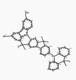 CC(C)(C)c1ccc2c(c1)c1cc(C(C)(C)C)cc3c1n2-c1cc2c(cc1C3(C)C)-c1ccc(N3c4ccccc4C(C)(C)c4ccccc43)cc1C2(C)C